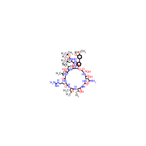 CC[C@H](C)[C@@H]1NC(=O)[C@@H](CCCNC(=N)N)NC(=O)[C@H](CC(C)C)NC(=O)[C@H]([C@H](O)C(C)C)NC(=O)[C@@H](NC(=O)[C@H](Cc2ccc(OC)c(OC)c2)NC(=O)[C@@H](CC(C)(C)C)NC(=O)OC(C)(C)C)[C@@H](c2ccccc2)OC(=O)[C@H](CO)NC(=O)[C@H]([C@H](O)C(N)=O)NC(=O)CNC(=O)[C@H]([C@H](C)O)NC1=O